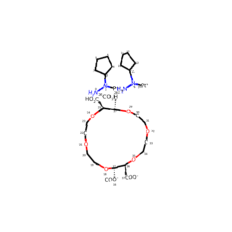 N[N]([Pt+])C1CCCC1.N[N]([Pt+])C1CCCC1.O=C([O-])[C@@H]1OCCOCCO[C@@H](C(=O)O)[C@H](C(=O)O)OCCOCCO[C@H]1C(=O)[O-]